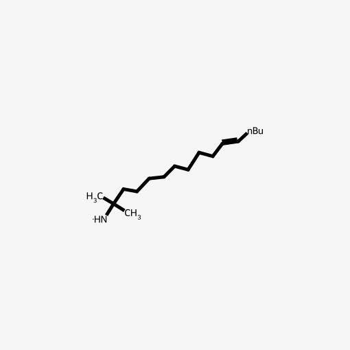 CCCC/C=C/CCCCCCCCC(C)(C)[NH]